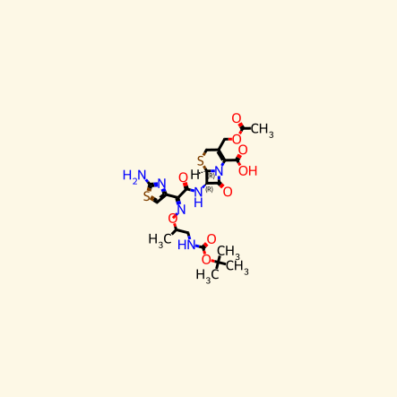 CC(=O)OCC1=C(C(=O)O)N2C(=O)[C@@H](NC(=O)C(=NOC(C)CNC(=O)OC(C)(C)C)c3csc(N)n3)[C@H]2SC1